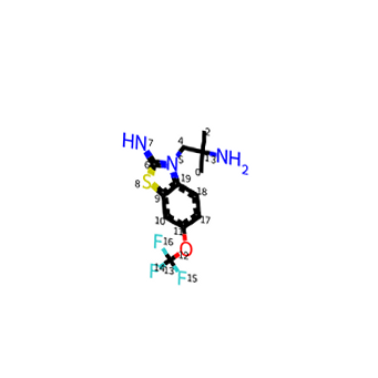 CC(C)(N)Cn1c(=N)sc2cc(OC(F)(F)F)ccc21